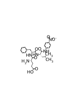 CC(C)C[C@H](NC(=O)[C@H](Cc1ccccc1)NC(=O)[C@@H](N)CCC(=O)O)C(=O)Nc1ccc([N+](=O)[O-])cc1